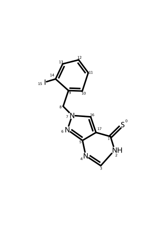 S=c1[nH]cnc2nn(Cc3ccccc3I)cc12